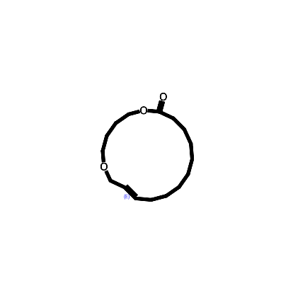 O=C1CCCCCCCC/C=C/COCCCCO1